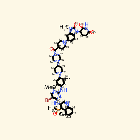 CCc1cc(Nc2ncc(Br)c(Nc3cnc4ccccc4c3P(C)(C)=O)n2)c(OC)cc1N1CCC(N2CCN(C(=O)C3CCN(c4ccc5c(c4)n(C)c(=O)n5C4CCC(=O)NC4=O)CC3)CC2)CC1